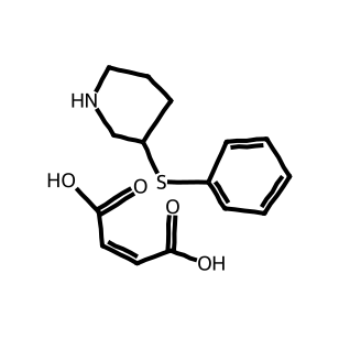 O=C(O)/C=C\C(=O)O.c1ccc(SC2CCCNC2)cc1